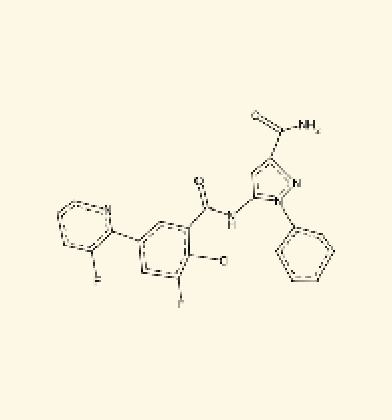 NC(=O)c1cc(NC(=O)c2cc(-c3ncccc3F)cc(F)c2Cl)n(-c2ccccc2)n1